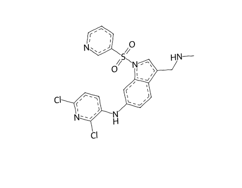 CNCc1cn(S(=O)(=O)c2cccnc2)c2cc(Nc3ccc(Cl)nc3Cl)ccc12